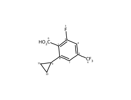 O=C(O)c1c(F)cc(C(F)(F)F)cc1C1CC1